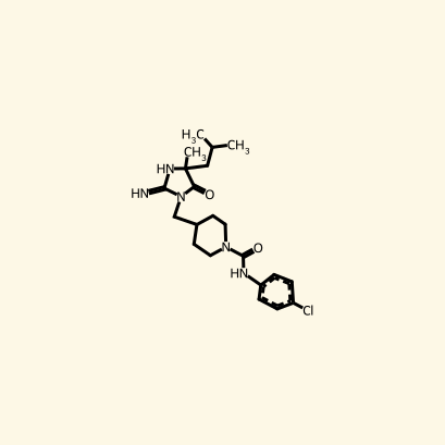 CC(C)CC1(C)NC(=N)N(CC2CCN(C(=O)Nc3ccc(Cl)cc3)CC2)C1=O